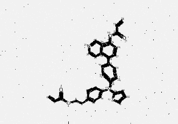 C=CC(=O)OCCc1ccc(N(c2ccc(-c3ccc(OC(=O)C=C)c4cnccc34)cc2)c2cccs2)cc1